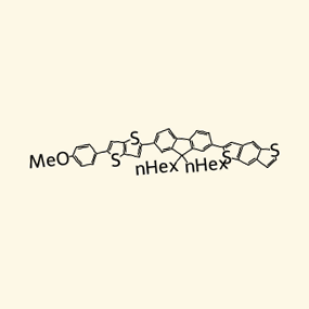 CCCCCCC1(CCCCCC)c2cc(-c3cc4cc5sccc5cc4s3)ccc2-c2ccc(-c3cc4sc(-c5ccc(OC)cc5)cc4s3)cc21